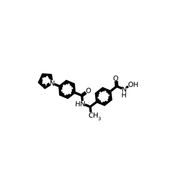 CC(NC(=O)c1ccc(-n2cccc2)cc1)c1ccc(C(=O)NO)cc1